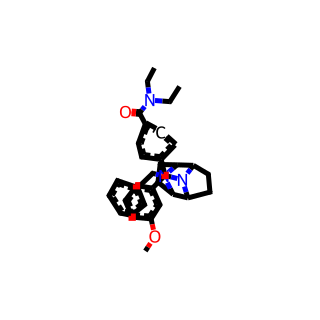 CCN(CC)C(=O)c1ccc(C(c2cccc(OC)c2)N2C3CCC2C2CCC3N2Cc2ccccc2)cc1